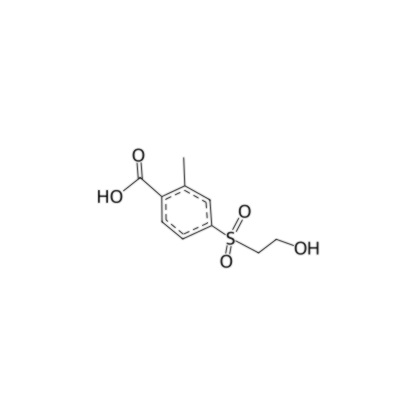 Cc1cc(S(=O)(=O)CCO)ccc1C(=O)O